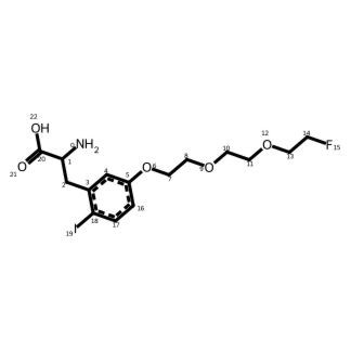 NC(Cc1cc(OCCOCCOCCF)ccc1I)C(=O)O